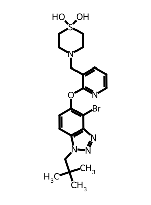 CC(C)(C)Cn1nnc2c(Br)c(Oc3ncccc3CN3CCS(O)(O)CC3)ccc21